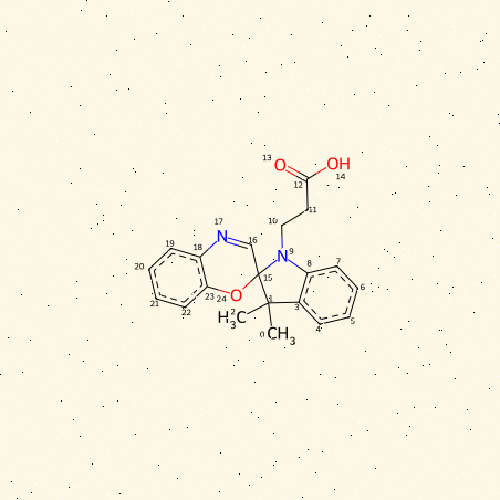 CC1(C)c2ccccc2N(CCC(=O)O)C12C=Nc1ccccc1O2